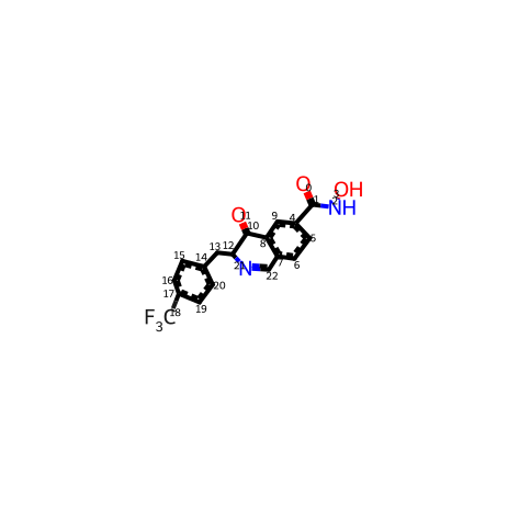 O=C(NO)c1ccc2c(c1)C(=O)C(Cc1ccc(C(F)(F)F)cc1)N=C2